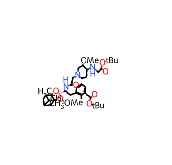 COc1c(CC(NC(=O)CN2CCC(NCC(=O)OC(C)(C)C)C(OC)C2)B2OC3CC4CC(C4(C)C)C3(C)O2)cccc1C(=O)OC(C)(C)C